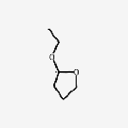 CCO[C]1CCCO1